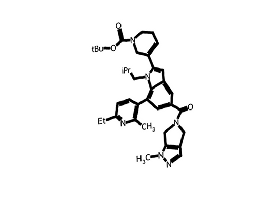 CCc1ccc(-c2cc(C(=O)N3Cc4cnn(C)c4C3)cc3cc(C4=CCCN(C(=O)OC(C)(C)C)C4)n(CC(C)C)c23)c(C)n1